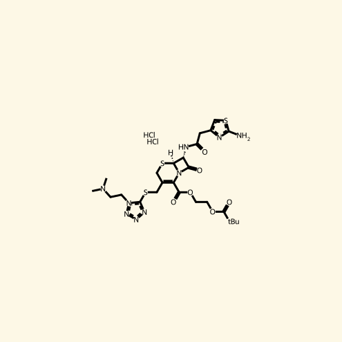 CN(C)CCn1nnnc1SCC1=C(C(=O)OCCOC(=O)C(C)(C)C)N2C(=O)[C@@H](NC(=O)Cc3csc(N)n3)[C@@H]2SC1.Cl.Cl